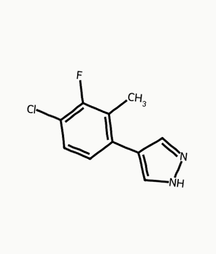 Cc1c(-c2cn[nH]c2)ccc(Cl)c1F